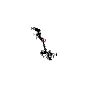 Cc1ncsc1-c1ccc(CNC(=O)[C@@H]2C[C@@H](O)CN2C(=O)[C@@H](NC(=O)C2(F)CC2)C(C)(C)C)c(OCCCCCCCCCC(=O)N2CCN(c3nnc(-c4cnc(-c5ccc6cc(C#N)cnn56)cc4NC(C)C)s3)CC2)c1